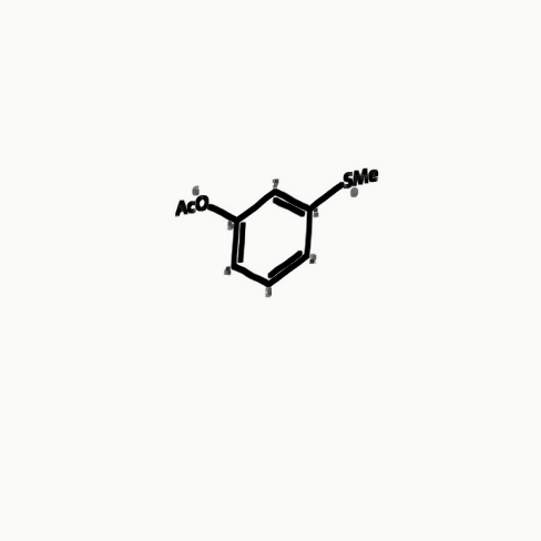 CSc1cccc(OC(C)=O)c1